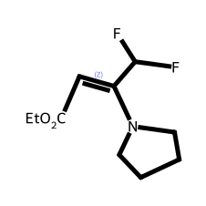 CCOC(=O)/C=C(/C(F)F)N1CCCC1